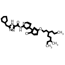 CCCC(CCOc1ccc(Cl)c(-c2ccnc(NC(=O)c3nnc(CC4CCCCC4)[nH]3)c2)c1)CCC(C)CC